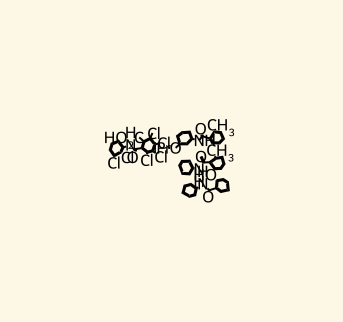 Cc1ccccc1C(=O)Nc1cccc(OC(C)C)c1.Cc1ccccc1C(=O)Nc1ccccc1.O=C(Nc1ccccc1)c1ccccc1O.O=C(O)c1c(Cl)c(Cl)c(Cl)c(Cl)c1C(=O)Nc1cccc(Cl)c1Cl